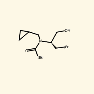 CC(C)C[C@H](CO)N(CC1CC1)C(=O)C(C)(C)C